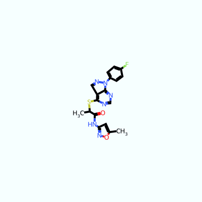 Cc1cc(NC(=O)C(C)Sc2ncnc3c2cnn3-c2ccc(F)cc2)no1